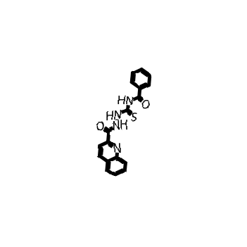 O=C(NC(=S)NNC(=O)c1ccc2ccccc2n1)c1ccccc1